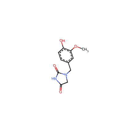 COc1cc(CN2CC(=O)NC2=O)ccc1O